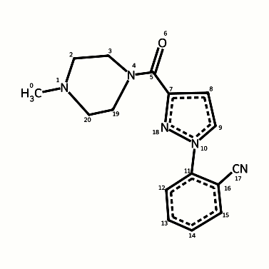 CN1CCN(C(=O)c2ccn(-c3ccccc3C#N)n2)CC1